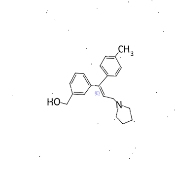 Cc1ccc(/C(=C\CN2CCCC2)c2cccc(CO)c2)cc1